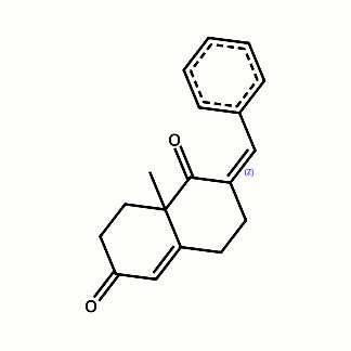 CC12CCC(=O)C=C1CC/C(=C/c1ccccc1)C2=O